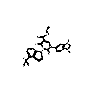 CCOC(=O)c1cn(-c2ccc3c(c2)N(C)CN3C)c(=O)n([C@@H]2CCc3c2cccc3C(F)(F)F)c1=O